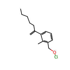 C=C(CCCCC)c1cccc(COCl)c1C